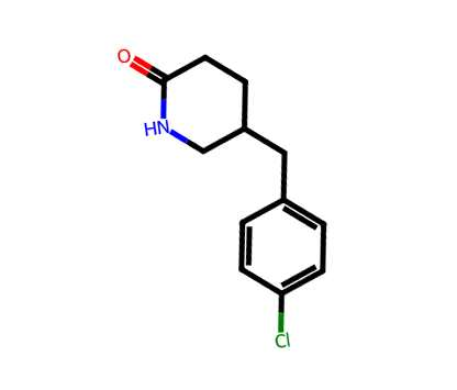 O=C1CCC(Cc2ccc(Cl)cc2)CN1